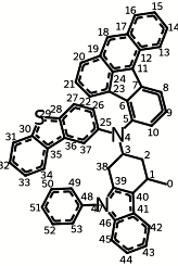 CC1CC(N(C2=C3C(=C=C=C2)c2c4ccccc4cc4cccc3c24)c2ccc3sc4ccccc4c3c2)Cc2c1c1ccccc1n2-c1ccccc1